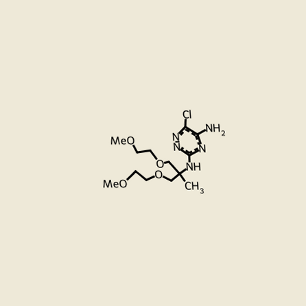 COCCOCC(C)(COCCOC)Nc1nnc(Cl)c(N)n1